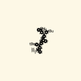 CC(C)(C)c1ccc(N(c2ccc3c(c2)C(C)(C)c2ccccc2-3)c2ccc3c(c2)oc2c4oc5cc(N(c6ccc(C(C)(C)C)cc6)c6ccc7c(c6)C(C)(C)c6ccccc6-7)ccc5c4c4ccccc4c32)cc1